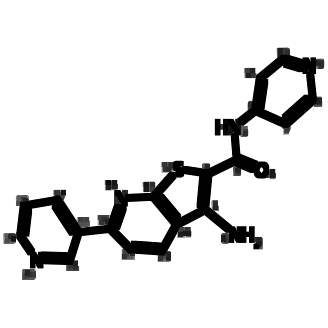 Nc1c(C(=O)Nc2ccncc2)sc2nc(-c3cccnc3)ccc12